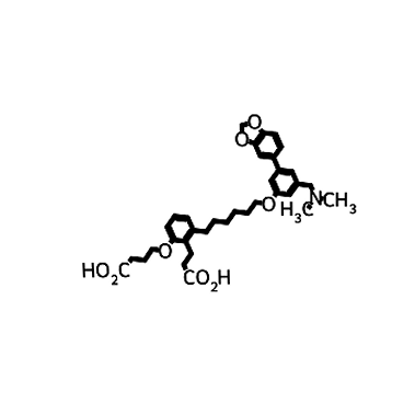 CN(C)Cc1cc(OCCCCCCc2cccc(OCCCC(=O)O)c2CCC(=O)O)cc(-c2ccc3c(c2)OCO3)c1